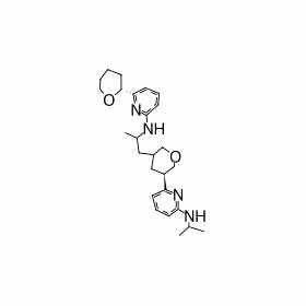 CC(C)Nc1cccc([C@@H]2COCC(CC(C)Nc3cccc([C@H]4CCCCO4)n3)C2)n1